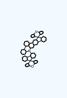 c1ccc(-c2ccccc2N(c2ccc3cc4c(cc3c2)-c2ccccc2C42c3ccccc3Sc3ccccc32)c2cccc3c2-c2ccccc2C32c3ccccc3Oc3ccccc32)cc1